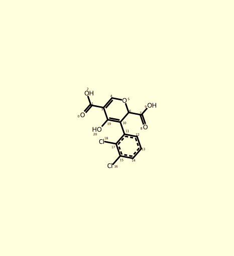 O=C(O)C1=COC(C(=O)O)C(c2cccc(Cl)c2Cl)=C1O